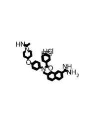 CC(=N)N1CCC(Oc2ccc(N(Cc3ccc4ccc(C(=N)N)cc4c3)C(=O)c3ccccc3)cc2)CC1.Cl.Cl